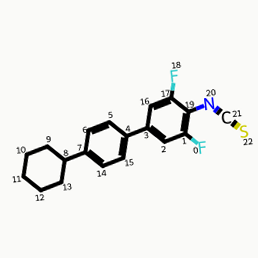 Fc1cc(-c2ccc(C3CCCCC3)cc2)cc(F)c1N=C=S